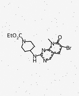 CCOC(=O)N1CCC(Nc2ncc3cc(Br)c(=O)n(C)c3n2)CC1